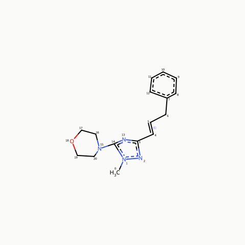 Cn1nc(/C=C/Cc2ccccc2)nc1N1CCOCC1